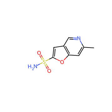 Cc1cc2oc(S(N)(=O)=O)cc2cn1